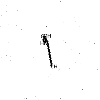 CCCCCCCCCCCCCCCCCC1Cc2cc(C(=O)O)ccc2N1